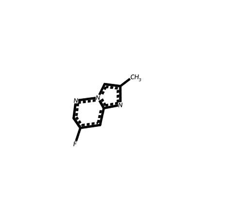 Cc1cn2ncc(F)cc2n1